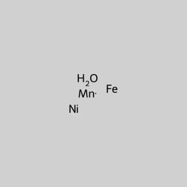 O.[Fe].[Mn].[Ni]